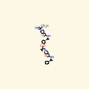 O=C(O)CC1(N2CCC3(CC2)CC(N[C@@H]2C[C@H]2c2cccc(OC(=O)C4(CN5CCC6(CC5)CC(N[C@@H]5C[C@H]5c5ccccc5)CO6)CC4)c2)CO3)CNC1